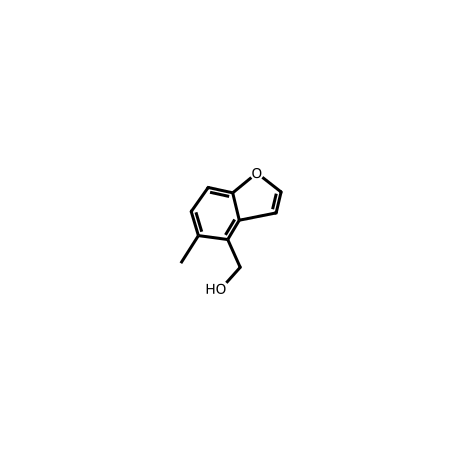 Cc1ccc2occc2c1CO